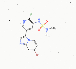 CN(C)S(=O)(=O)Nc1cc(-c2cnc3cc(Br)ccn23)cnc1Cl